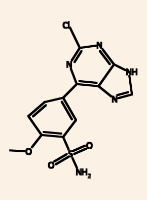 COc1ccc(-c2nc(Cl)nc3[nH]cnc23)cc1S(N)(=O)=O